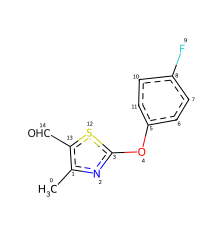 Cc1nc(Oc2ccc(F)cc2)sc1C=O